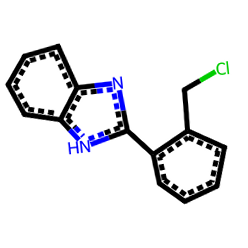 ClCc1ccccc1-c1nc2ccccc2[nH]1